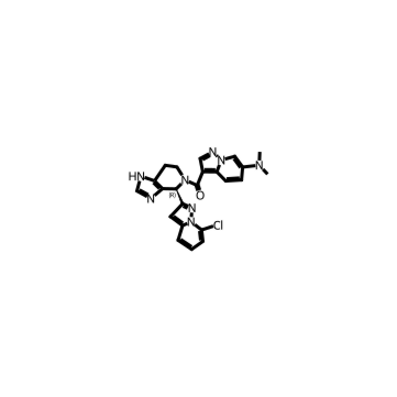 CN(C)c1ccc2c(C(=O)N3CCc4[nH]cnc4[C@@H]3c3cc4cccc(Cl)n4n3)cnn2c1